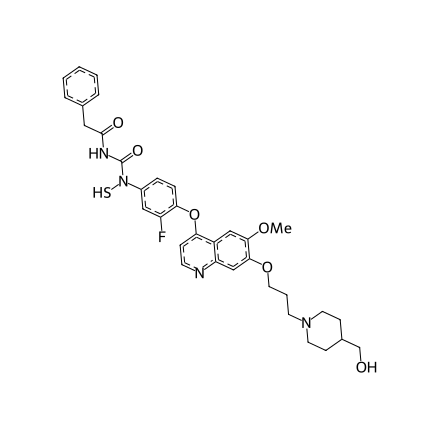 COc1cc2c(Oc3ccc(N(S)C(=O)NC(=O)Cc4ccccc4)cc3F)ccnc2cc1OCCCN1CCC(CO)CC1